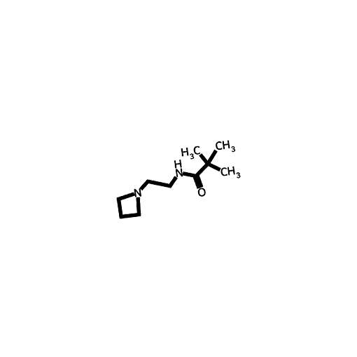 CC(C)(C)C(=O)NCCN1CCC1